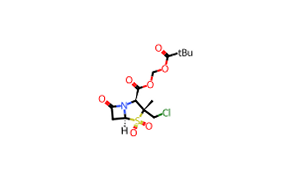 CC(C)(C)C(=O)OCOC(=O)[C@@H]1N2C(=O)C[C@@H]2S(=O)(=O)[C@@]1(C)CCl